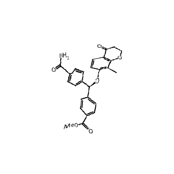 COC(=O)c1ccc([C@H](Oc2ccc3c(c2C)OCCC3=O)c2ccc(C(N)=O)cc2)cc1